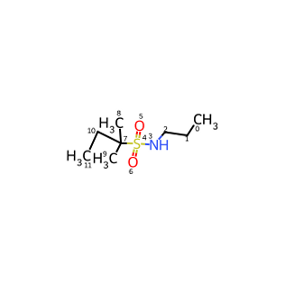 CCCNS(=O)(=O)C(C)(C)CC